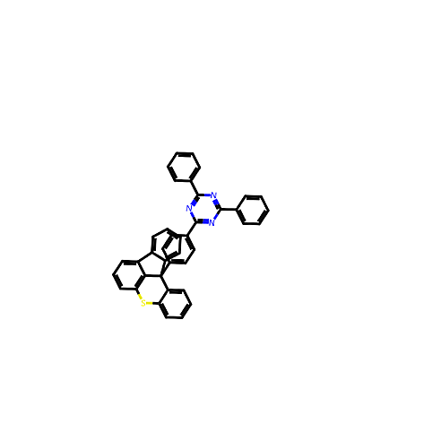 c1ccc(-c2nc(-c3ccccc3)nc(-c3ccc(C45c6ccccc6Sc6cccc(c64)-c4ccccc45)cc3)n2)cc1